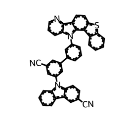 N#Cc1cc(-c2cccc(-n3c4cccnc4c4ccc5sc6ccccc6c5c43)c2)cc(-n2c3ccccc3c3cc(C#N)ccc32)c1